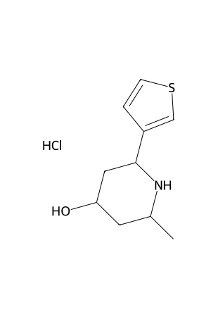 CC1CC(O)CC(c2ccsc2)N1.Cl